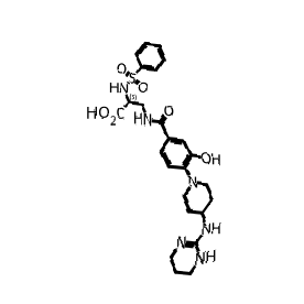 O=C(NC[C@H](NS(=O)(=O)c1ccccc1)C(=O)O)c1ccc(N2CCC(NC3=NCCCN3)CC2)c(O)c1